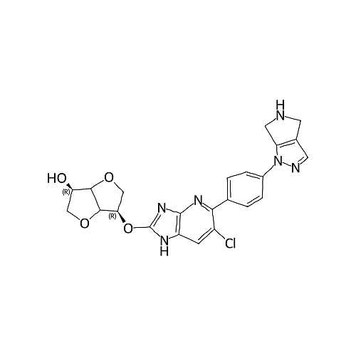 O[C@@H]1COC2C1OC[C@H]2Oc1nc2nc(-c3ccc(-n4ncc5c4CNC5)cc3)c(Cl)cc2[nH]1